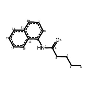 CCCCC(=O)Nc1cccc2ccccc12